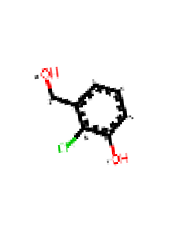 O[CH]c1cccc(O)c1Cl